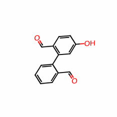 O=Cc1ccccc1-c1cc(O)ccc1C=O